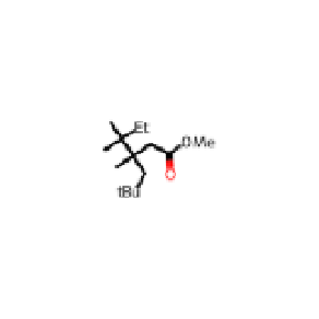 CCC(C)(C)C(C)(CC(=O)OC)CC(C)(C)C